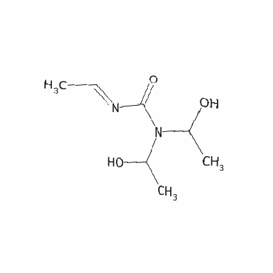 CC=NC(=O)N(C(C)O)C(C)O